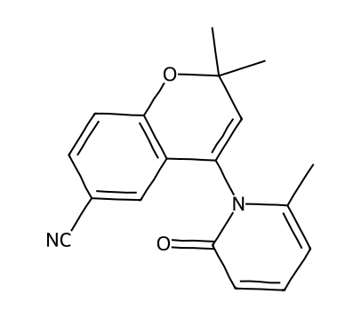 Cc1cccc(=O)n1C1=CC(C)(C)Oc2ccc(C#N)cc21